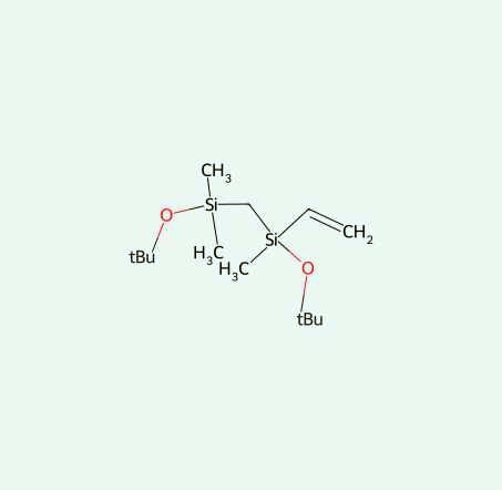 C=C[Si](C)(C[Si](C)(C)OC(C)(C)C)OC(C)(C)C